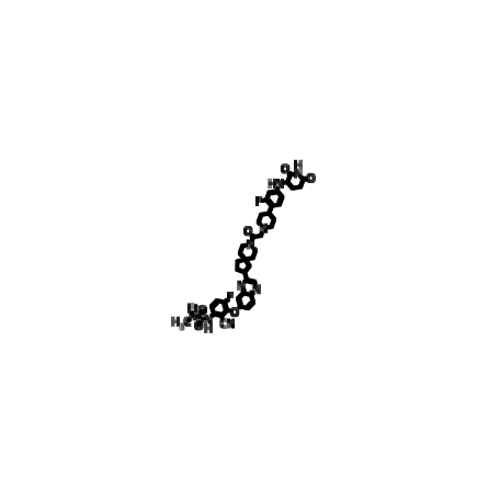 CCN(C)S(=O)(=O)Nc1ccc(F)c(Oc2ccc3ncc(C4CCC5(CCN(C(=O)CN6CCC(c7ccc(NC8CCC(=O)NC8=O)cc7F)CC6)CC5)C4)nc3c2)c1C#N